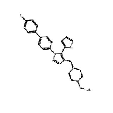 CCN1CCN(Cc2cnn(-c3ccc(-c4ccc(F)cc4)cc3)c2-c2ccco2)CC1